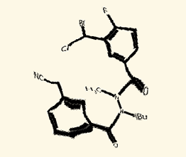 CCC(C)N(C(=O)c1cccc(CC#N)c1)N(C)C(=O)c1ccc(F)c(C(Cl)Br)c1